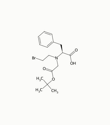 CC(C)(C)OC(=O)CN(CCBr)[C@@H](Cc1ccccc1)C(=O)O